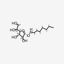 CCCCCCCNO[C@H]1O[C@H]([C@@H](O)CO)[C@H](O)[C@@H]1O